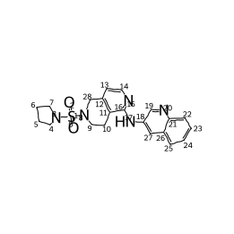 O=S(=O)(N1CCCC1)N1CCc2c(ccnc2Nc2cnc3ccccc3c2)C1